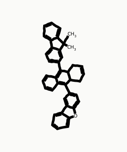 CC1(C)c2ccccc2-c2ccc(C3=c4ccccc4=C(c4ccc5oc6ccccc6c5c4)C4CC=CCC34)cc21